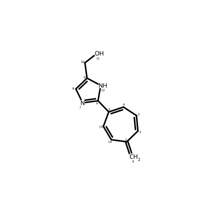 C=C1C=CC=C(c2ncc(CO)[nH]2)C=C1